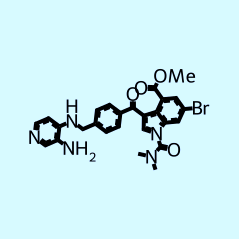 COC(=O)c1cc(Br)cc2c1c(C(=O)c1ccc(CNc3ccncc3N)cc1)cn2C(=O)N(C)C